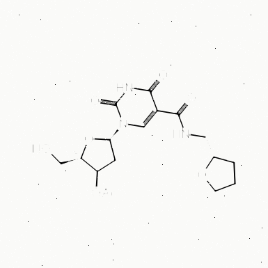 CC(=O)OC1C[C@H](n2cc(C(=O)NC[C@@H]3CCCO3)c(=O)[nH]c2=O)O[C@@H]1CO